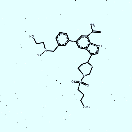 CCCN(CCO)Cc1cccc(-c2cc(C(N)=O)c3[nH]cc(C4CCN(S(=O)(=O)CCCOC)CC4)c3c2)c1